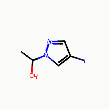 CC(O)n1cc(I)cn1